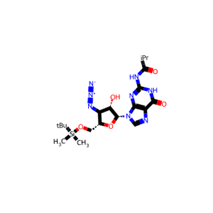 CC(C)C(=O)Nc1nc2c(ncn2[C@@H]2O[C@H](CO[Si](C)(C)C(C)(C)C)C(N=[N+]=[N-])[C@@H]2O)c(=O)[nH]1